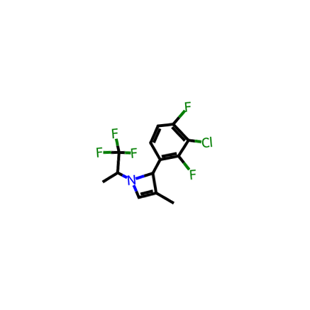 CC1=CN(C(C)C(F)(F)F)C1c1ccc(F)c(Cl)c1F